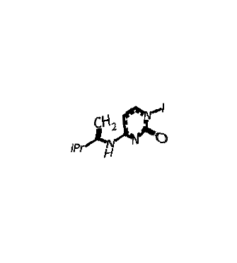 C=C(Nc1ccn(I)c(=O)n1)C(C)C